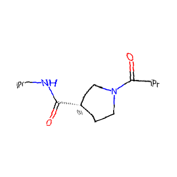 CC(C)NC(=O)[C@H]1CCN(C(=O)C(C)C)C1